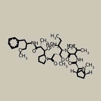 CC[C@H](C)[C@@H]([C@@H](CC(=O)N1CCCC1[C@H](OC)[C@@H](C)C(=O)NC(COC)Cc1ccccc1)OC)N(C)C(=O)C(NC(=O)[C@@H]1[C@H]2CC[C@H](C2)N1C)C(C)C